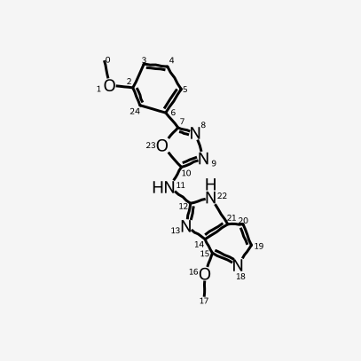 COc1cccc(-c2nnc(Nc3nc4c(OC)nccc4[nH]3)o2)c1